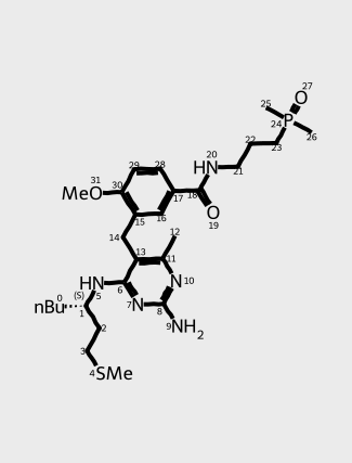 CCCC[C@@H](CCSC)Nc1nc(N)nc(C)c1Cc1cc(C(=O)NCCCP(C)(C)=O)ccc1OC